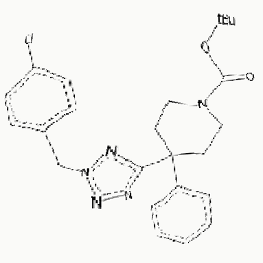 CC(C)(C)OC(=O)N1CCC(c2ccccc2)(c2nnn(Cc3ccc(Cl)cc3)n2)CC1